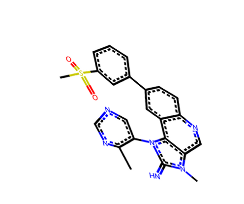 Cc1ncncc1-n1c(=N)n(C)c2cnc3ccc(-c4cccc(S(C)(=O)=O)c4)cc3c21